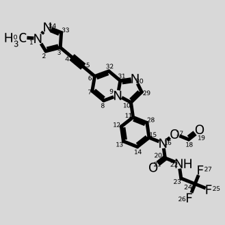 Cn1cc(C#Cc2ccn3c(-c4cccc(N(OC=O)C(=O)NCC(F)(F)F)c4)cnc3c2)cn1